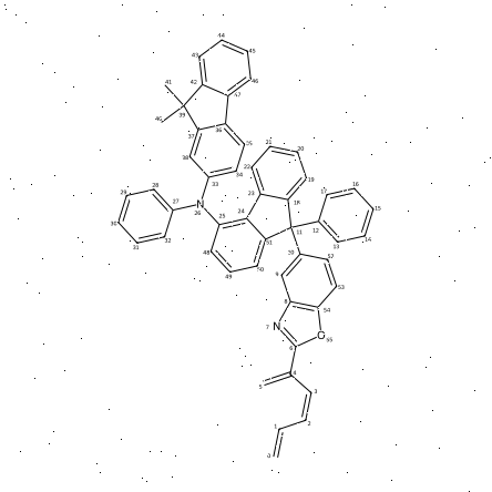 C=C/C=C\C(=C)c1nc2cc(C3(c4ccccc4)c4ccccc4-c4c(N(c5ccccc5)c5ccc6c(c5)C(C)(C)c5ccccc5-6)cccc43)ccc2o1